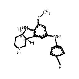 CSc1cc(Nc2ccc(F)cc2)cc2c1N[C@@H]1CCNC[C@H]21